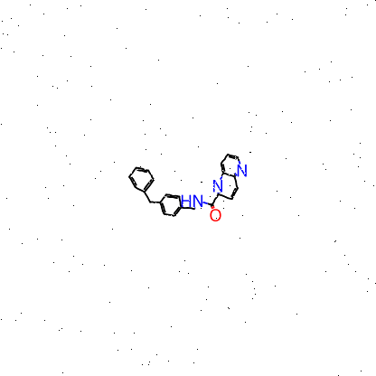 O=C(NCc1ccc(Cc2ccccc2)cc1)c1ccc2ncccc2n1